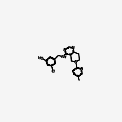 Cc1ccc(N2CCc3ncnc(NCc4cc(O)cc(Cl)c4)c3C2)nc1